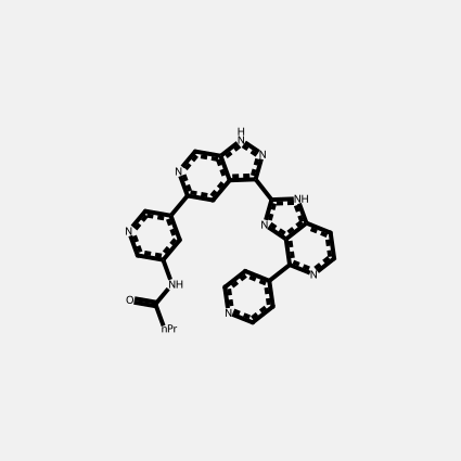 CCCC(=O)Nc1cncc(-c2cc3c(-c4nc5c(-c6ccncc6)nccc5[nH]4)n[nH]c3cn2)c1